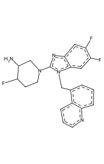 NC1CN(c2nc3cc(F)c(F)cc3n2Cc2cccc3ncccc23)CCC1F